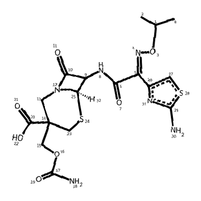 CC(C)ON=C(C(=O)NC1C(=O)N2CC(COC(N)=O)(C(=O)O)CS[C@H]12)c1csc(N)n1